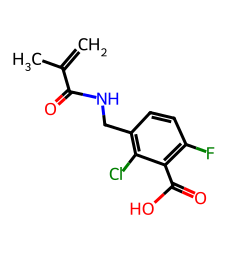 C=C(C)C(=O)NCc1ccc(F)c(C(=O)O)c1Cl